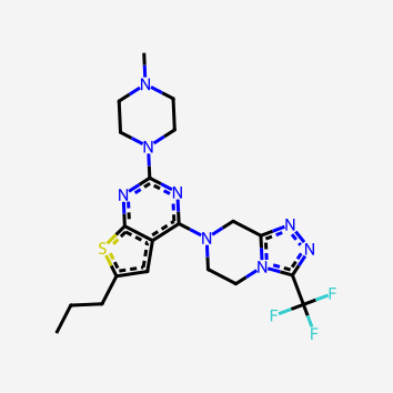 CCCc1cc2c(N3CCn4c(nnc4C(F)(F)F)C3)nc(N3CCN(C)CC3)nc2s1